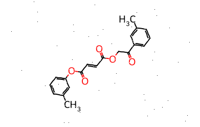 Cc1cccc(OC(=O)/C=C/C(=O)OCC(=O)c2cccc(C)c2)c1